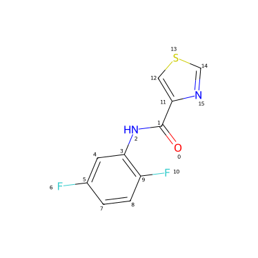 O=C(Nc1cc(F)ccc1F)c1cscn1